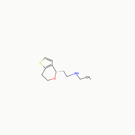 CCNCC[C@@H]1OCCc2sccc21